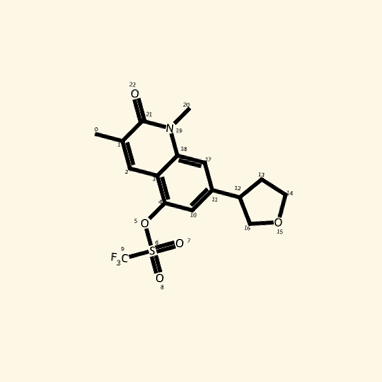 Cc1cc2c(OS(=O)(=O)C(F)(F)F)cc(C3CCOC3)cc2n(C)c1=O